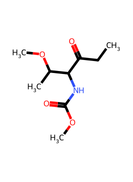 CCC(=O)C(NC(=O)OC)C(C)OC